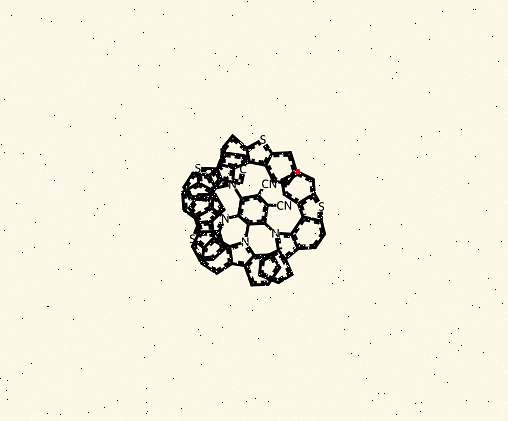 N#Cc1c(C#N)c(-n2c3ccccc3c3ccc4sc5ccccc5c4c32)c(-n2c3ccccc3c3ccc4sc5ccccc5c4c32)c(-n2c3ccccc3c3ccc4sc5ccccc5c4c32)c1-n1c2ccccc2c2ccc3sc4ccccc4c3c21